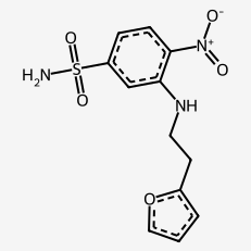 NS(=O)(=O)c1ccc([N+](=O)[O-])c(NCCc2ccco2)c1